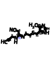 C#CCN/C(CC#N)=N/CCSCc1[nH]cnc1C